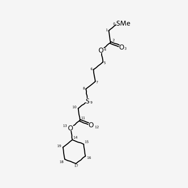 CSCC(=O)OCCCCSCC(=O)OC1CCCCC1